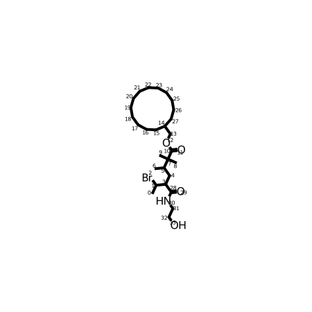 CC(Br)C(CC(C)C(C)(C)C(=O)OCC1CCCCCCCCCCCCC1)C(=O)NCCO